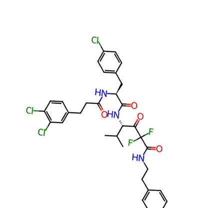 CC(C)[C@H](NC(=O)[C@H](Cc1ccc(Cl)cc1)NC(=O)CCc1ccc(Cl)c(Cl)c1)C(=O)C(F)(F)C(=O)NCCc1ccccc1